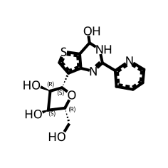 OC[C@H]1O[C@@H](c2csc3c2N=C(c2ccccn2)NC3O)[C@H](O)[C@@H]1O